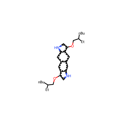 CCCCC(CC)COc1c[nH]c2cc3cc4c(OCC(CC)CCCC)c[nH]c4cc3cc12